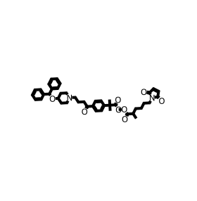 CC(CCCCN1C(=O)C=CC1=O)C(=O)OOC(=O)C(C)(C)c1ccc(C(=O)CCCN2CCC(OC(c3ccccc3)c3ccccc3)CC2)cc1